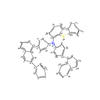 c1ccc(-c2ccc3cccc(-c4ccc(N(c5ccc(-c6cccc7ccccc67)cc5)c5cccc6c5sc5ccccc56)cc4)c3c2)cc1